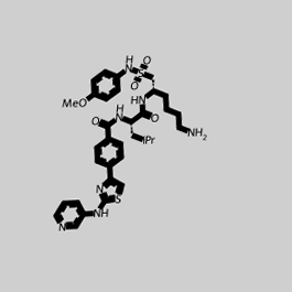 COc1ccc(NS(=O)(=O)C[C@H](CCCCN)NC(=O)[C@H](CC(C)C)NC(=O)c2ccc(-c3csc(Nc4cccnc4)n3)cc2)cc1